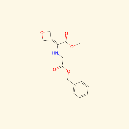 COC(=O)C(NCC(=O)OCc1ccccc1)=C1COC1